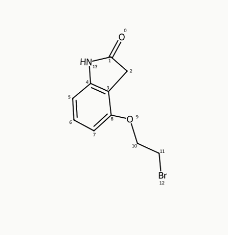 O=C1Cc2c(cccc2OCCBr)N1